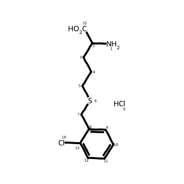 Cl.NC(CCCSCc1ccccc1Cl)C(=O)O